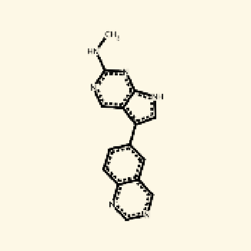 CNc1ncc2c(-c3ccc4ncncc4c3)c[nH]c2n1